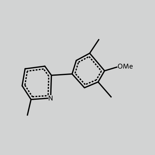 COc1c(C)cc(-c2cccc(C)n2)cc1C